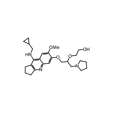 COc1cc2c(NCC3CC3)c3c(nc2cc1OCC(CN1CCCC1)OCCO)CCC3